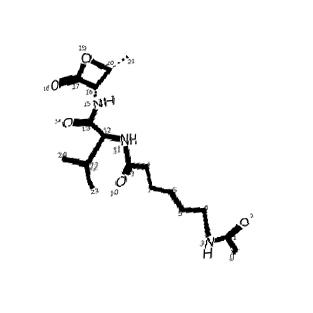 CC(=O)NCCCCCC(=O)NC(C(=O)N[C@@H]1C(=O)O[C@@H]1C)C(C)C